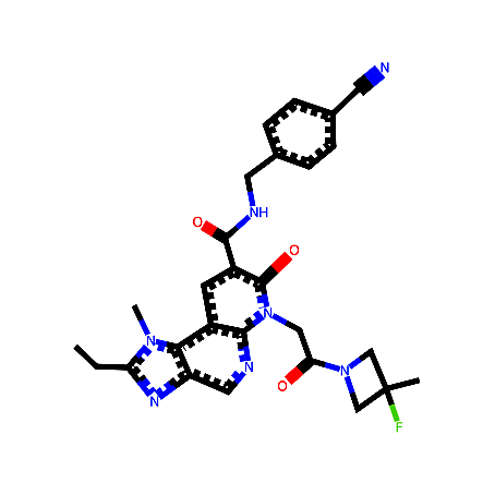 CCc1nc2cnc3c(cc(C(=O)NCc4ccc(C#N)cc4)c(=O)n3CC(=O)N3CC(C)(F)C3)c2n1C